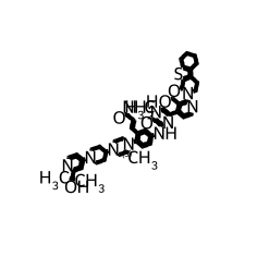 C[C@H]1CN(C2CCN(c3ccnc(C(C)(C)O)c3)CC2)CCN1c1ccc(Nc2nc(-c3ccnc(N4CCc5c(sc6c5CCCC6)C4=O)c3CO)cn(C)c2=O)cc1C=CC(N)=O